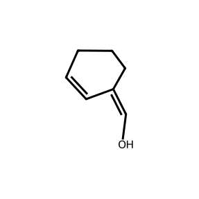 OC=C1C=CCCC1